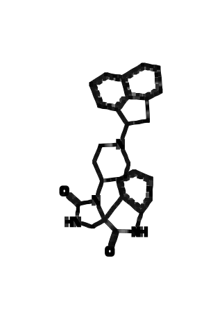 O=C1NCC2(C(=O)Nc3ccccc32)N1C1CCN(C2Cc3cccc4cccc2c34)CC1